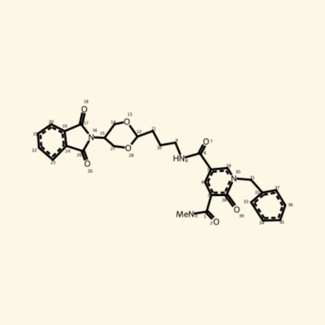 CNC(=O)c1cc(C(=O)NCCCC2OCC(N3C(=O)c4ccccc4C3=O)CO2)cn(Cc2ccccc2)c1=O